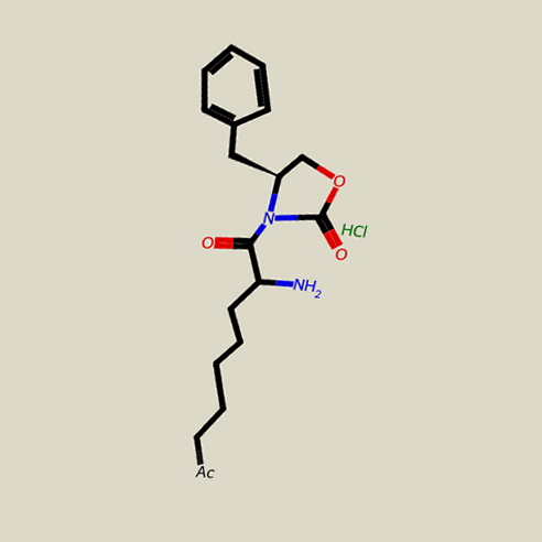 CC(=O)CCCCCC(N)C(=O)N1C(=O)OC[C@@H]1Cc1ccccc1.Cl